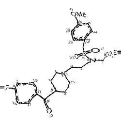 CCOC(=O)CN(CCN1CCC(C(=O)c2ccc(F)cc2)CC1)S(=O)(=O)c1ccc(OC)cc1